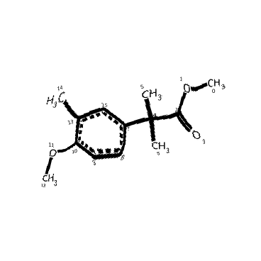 COC(=O)C(C)(C)c1ccc(OC)c(C)c1